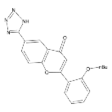 CCCCOc1ccccc1-c1cc(=O)c2cc(-c3nnn[nH]3)ccc2o1